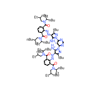 CCCCC(CC)CN(C(=O)c1cccc(C(=O)N(CC(CC)CCCC)C(CC)CCCC)c1/N=N/c1c(C(C)(C)C)nn(-c2cc(-n3nc(C(C)(C)C)c(/N=N/c4c(C(=O)N(CC(CC)CCCC)C(CC)CCCC)cccc4C(=O)N(CC(CC)CCCC)C(CC)CCCC)c3N)ncn2)c1N)C(CC)CCCC